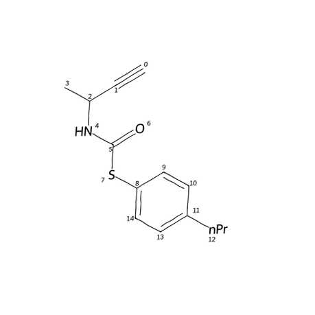 C#CC(C)NC(=O)Sc1ccc(CCC)cc1